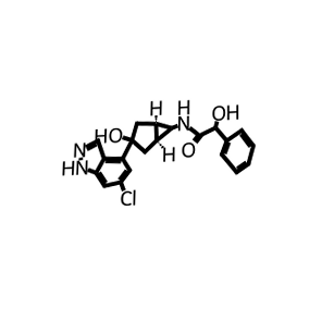 O=C(NC1[C@H]2CC(O)(c3cc(Cl)cc4[nH]ncc34)C[C@@H]12)C(O)c1ccccc1